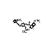 COc1ccc2nccc([C@@H](F)CCC3CCN(CC#Cc4cccn4C)CC3CCC(=O)O)c2c1